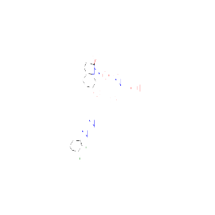 O=C(OCn1c(=O)ccc2ccc(OCCCCN3CCN(c4cccc(Cl)c4Cl)CC3)cc21)N(CCO)CCO